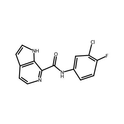 O=C(Nc1ccc(F)c(Cl)c1)c1nccc2cc[nH]c12